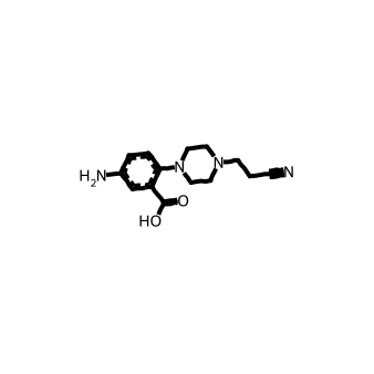 N#CCCN1CCN(c2ccc(N)cc2C(=O)O)CC1